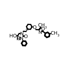 Cc1cccc(-c2nc(CO[C@@H]3CCC[C@H](CCN(CC(=O)O)C(=O)Nc4ccccc4)C3)c(C)o2)c1